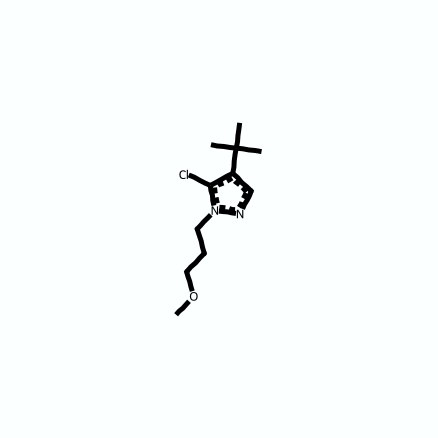 COCCCn1ncc(C(C)(C)C)c1Cl